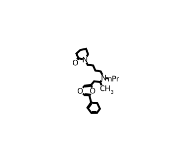 CCCN(CCCCN1CCCCC1=O)C(C)CC1=COC=C(C2=CC=CCC2)O1